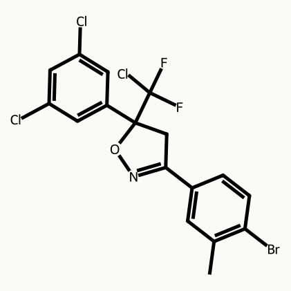 Cc1cc(C2=NOC(c3cc(Cl)cc(Cl)c3)(C(F)(F)Cl)C2)ccc1Br